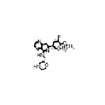 C=C(OC)/C(F)=C\C(=C/C)c1cc2nccnc2c(NC[C@H]2CNCCO2)n1